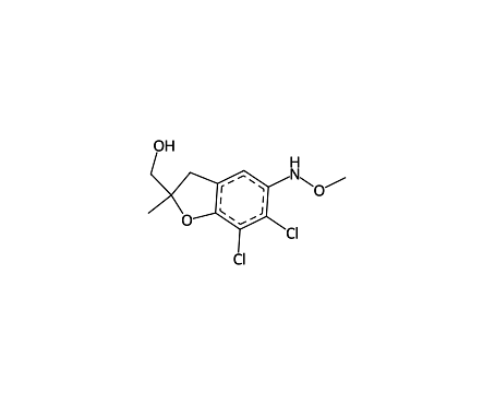 CONc1cc2c(c(Cl)c1Cl)OC(C)(CO)C2